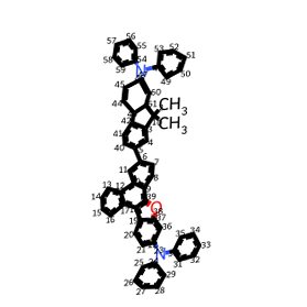 CC1(C)c2cc(-c3ccc4c(c3)c3ccccc3c3c5ccc(N(c6ccccc6)c6ccccc6)cc5oc43)ccc2C2C=CC(N(c3ccccc3)c3ccccc3)=CC21